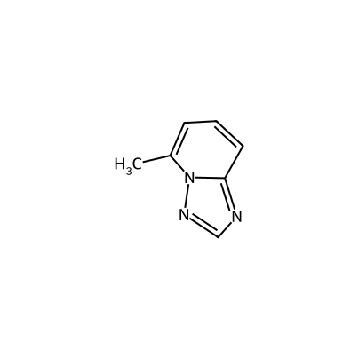 Cc1cccc2ncnn12